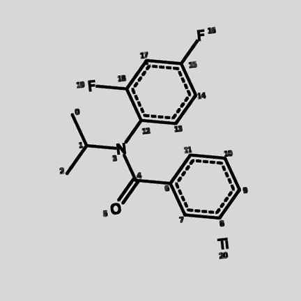 CC(C)N(C(=O)c1ccccc1)c1ccc(F)[c]c1F.[Ti]